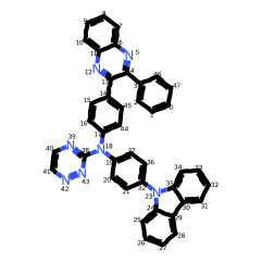 c1ccc(-c2nc3ccccc3nc2-c2ccc(N(c3ccc(-n4c5ccccc5c5ccccc54)cc3)c3nccnn3)cc2)cc1